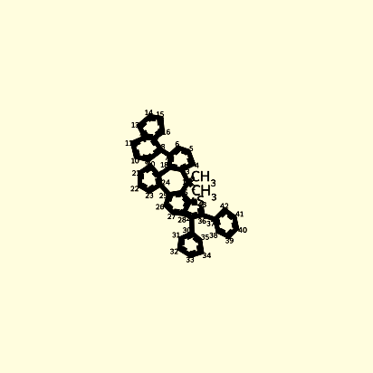 CC1(C)c2cccc(-c3cccc4ccccc34)c2-c2ccccc2-c2ccc3c(-c4ccccc4)c(-c4ccccc4)sc3c21